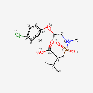 CC(C)C(CS(=O)(=O)N(C)CCOc1ccc(Cl)cc1)C(=O)O